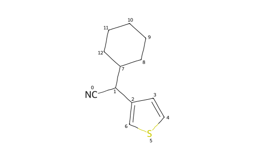 N#CC(c1ccsc1)C1CCCCC1